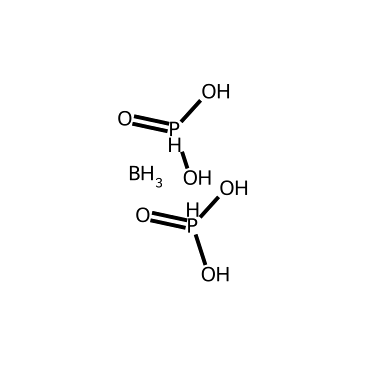 B.O=[PH](O)O.O=[PH](O)O